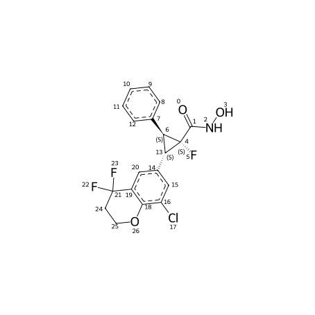 O=C(NO)[C@]1(F)[C@H](c2ccccc2)[C@H]1c1cc(Cl)c2c(c1)C(F)(F)CCO2